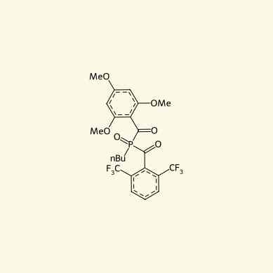 CCCCP(=O)(C(=O)c1c(OC)cc(OC)cc1OC)C(=O)c1c(C(F)(F)F)cccc1C(F)(F)F